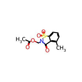 CC(=O)OCN1C(=O)c2c(C)cccc2S1(=O)=O